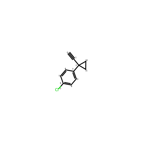 C#CC1(c2ccc(Cl)cc2)CC1